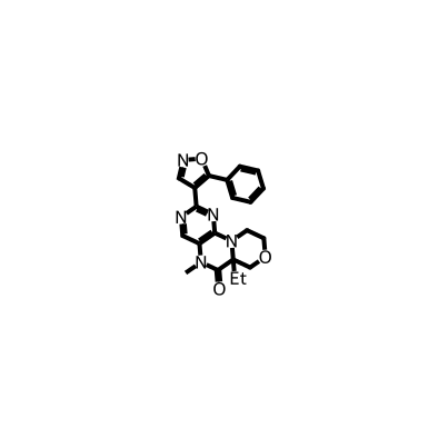 CCC12COCCN1c1nc(-c3cnoc3-c3ccccc3)ncc1N(C)C2=O